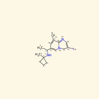 CC(NC1(C)CCC1)C1=CN2CC(I)=CN=C2C(C(F)(F)F)=C1